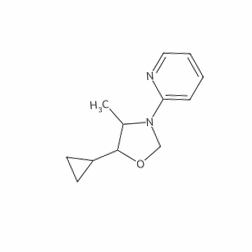 CC1C(C2CC2)OCN1c1ccccn1